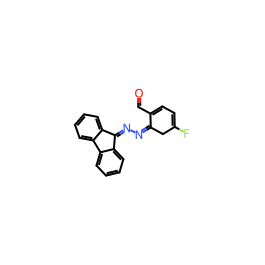 O=CC1=CC=C(F)CC1=NN=C1c2ccccc2-c2ccccc21